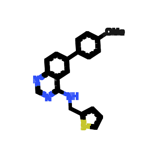 COc1ccc(-c2ccc3ncnc(NCc4cccs4)c3c2)cc1